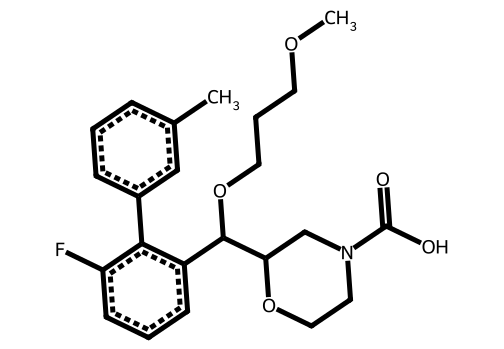 COCCCOC(c1cccc(F)c1-c1cccc(C)c1)C1CN(C(=O)O)CCO1